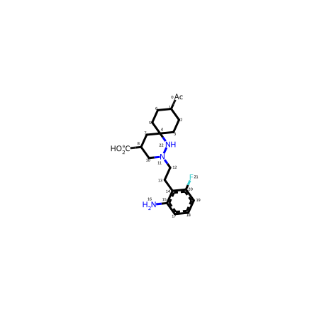 CC(=O)C1CCC2(CC1)CC(C(=O)O)CN(CCc1c(N)cccc1F)N2